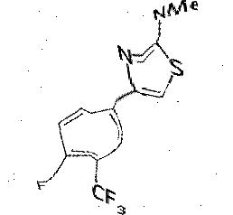 CNc1nc(-c2ccc(F)c(C(F)(F)F)c2)cs1